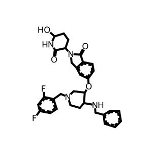 O=C1NC(O)CCC1N1Cc2cc(OC3CN(Cc4ccc(F)cc4F)CCC3NCc3ccccc3)ccc2C1=O